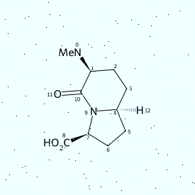 CN[C@H]1CC[C@H]2CC[C@@H](C(=O)O)N2C1=O